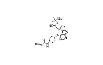 CC(C)(C)OC(=O)N[C@H]1CC[C@H](Oc2ncnc3sc4c(c23)[C@@H](CC(C#N)O[Si](C)(C)C(C)(C)C)CC4)CC1